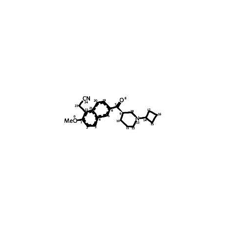 COc1ccc2cc(C(=O)[C@@H]3CCCN(C4CCC4)C3)ccc2c1CC#N